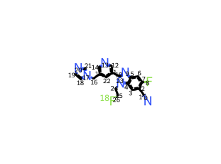 N#Cc1cc2c(cc1F)nc(-c1cncc(Cn3ccnc3)c1)n2CC[18F]